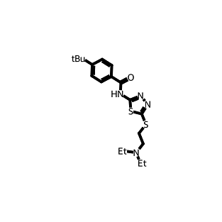 CCN(CC)CCSc1nnc(NC(=O)c2ccc(C(C)(C)C)cc2)s1